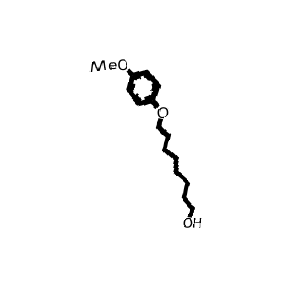 COc1ccc(OCCCCCCCCO)cc1